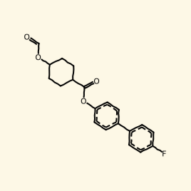 O=COC1CCC(C(=O)Oc2ccc(-c3ccc(F)cc3)cc2)CC1